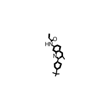 C=CC(=O)Nc1ccc2cc(C)c(-c3ccc(C(C)(C)C)cc3)nc2c1